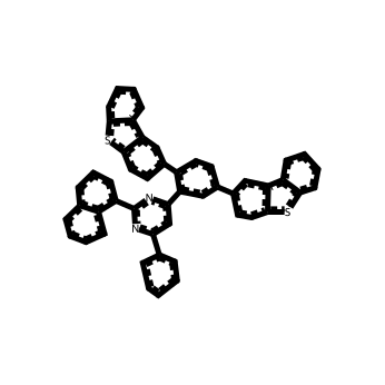 c1ccc(-c2cc(-c3cc(-c4ccc5sc6ccccc6c5c4)ccc3-c3ccc4sc5ccccc5c4c3)nc(-c3cccc4ccccc34)n2)cc1